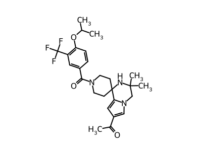 CC(=O)c1cc2n(c1)CC(C)(C)NC21CCN(C(=O)c2ccc(OC(C)C)c(C(F)(F)F)c2)CC1